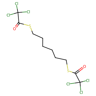 O=C(SCCCCCCSC(=O)C(Cl)(Cl)Cl)C(Cl)(Cl)Cl